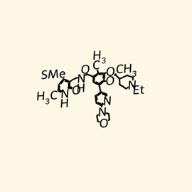 CCN1CCC([C@@]2(C)Oc3c(-c4ccc(N5CCOCC5)nc4)cc(C(=O)NCc4c(SC)cc(C)[nH]c4=O)c(C)c3O2)CC1